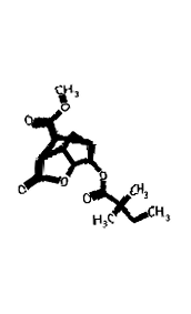 CCC(C)(C)C(=O)OC1C2CC3C1OC(=O)C3C2C(=O)OC